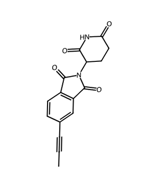 CC#Cc1ccc2c(c1)C(=O)N(C1CCC(=O)NC1=O)C2=O